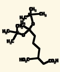 C[Si](C)(C)O[Si](C)(CCCC(CC(=O)O)C(=O)O)O[Si](C)(C)C